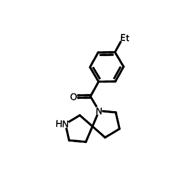 CCc1ccc(C(=O)N2CCCC23CCNC3)cc1